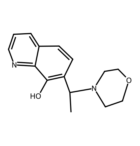 CC(c1ccc2cccnc2c1O)N1CCOCC1